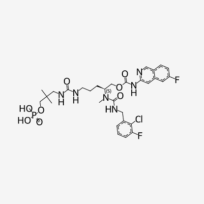 CN(C(=O)NCc1cccc(F)c1Cl)[C@@H](CCCNC(=O)NCC(C)(C)COP(=O)(O)O)COC(=O)Nc1cc2cc(F)ccc2cn1